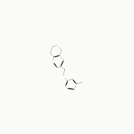 Fc1cccc(OCc2cnc3c(c2)C[N]CC3)c1